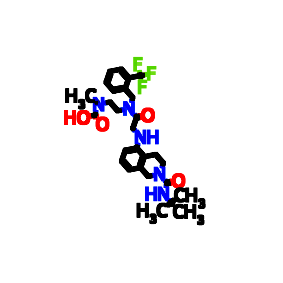 CN(CCN(Cc1ccccc1C(F)(F)F)C(=O)CNc1cccc2c1CCN(C(=O)NC(C)(C)C)C2)C(=O)O